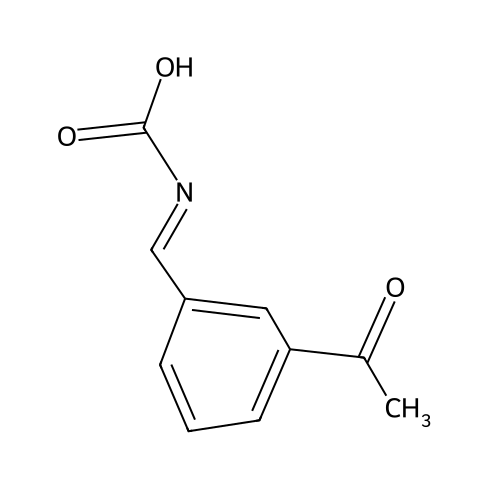 CC(=O)c1cccc(/C=N/C(=O)O)c1